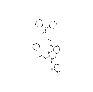 CC(C)NC(=O)CN1Cc2cccc(OCCCC(=O)N(C3CCCCC3)C3CCCCC3)c2N=C1NC(=O)Oc1ccccc1